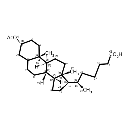 CC(=O)O[C@@H]1CC[C@@]2(C)C(CC[C@H]3[C@@H]4CC[C@H]([C@H](C)CCCCC(=O)O)[C@@]4(C)CC[C@@H]32)C1